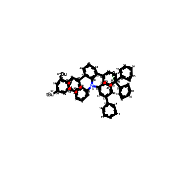 CC(C)(C)c1cc(-c2cccc(N(c3cc(-c4ccccc4)cc(C(Cl)(c4ccccc4)c4ccccc4)c3)c3c(-c4ccccc4)cccc3-c3ccccc3)c2)cc(C(C)(C)C)c1